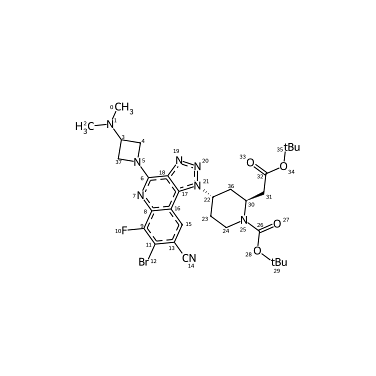 CN(C)C1CN(c2nc3c(F)c(Br)c(C#N)cc3c3c2nnn3[C@H]2CCN(C(=O)OC(C)(C)C)[C@H](CC(=O)OC(C)(C)C)C2)C1